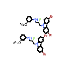 COc1cccc(NC[C@@H](F)Cn2c3ccc(Br)cc3c3cc(Br)ccc32)c1.COc1cccc(NC[C@H](F)Cn2c3ccc(Br)cc3c3cc(Br)ccc32)c1